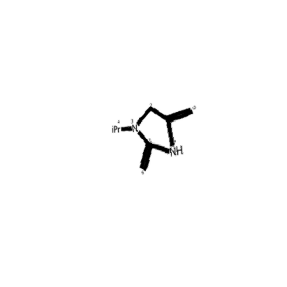 C=C1CN(C(C)C)C(=C)N1